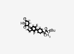 CN(C(=O)OC(C)(C)C)C1CCC(c2c(F)cc3c(c2F)CCN3[C@@H]2CCC(=O)NC2=O)CC1